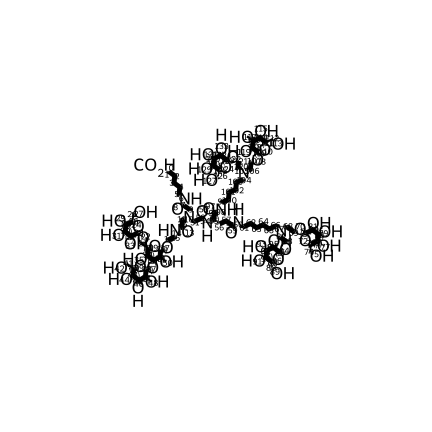 O=C(O)CCCCCNC(=O)CN(CC(=O)NCCO[C@H]1O[C@H](CO[C@H]2O[C@H](CO)[C@@H](O)[C@H](O)[C@@H]2O)[C@@H](O)[C@H](O[C@H]2O[C@H](CO)[C@@H](O)[C@H](O)[C@@H]2O)[C@@H]1O)CC(=O)N[C@@H](CCC(=O)NCCCCCCN(CCO[C@H]1O[C@H](CO)[C@@H](O)[C@H](O)[C@@H]1O)CCO[C@H]1O[C@H](CO)[C@@H](O)[C@H](O)[C@@H]1O)C(=O)NCCCCCCN(CCO[C@H]1O[C@H](CO)[C@@H](O)[C@H](O)[C@@H]1O)CCO[C@H]1O[C@H](CO)[C@@H](O)[C@H](O)[C@@H]1O